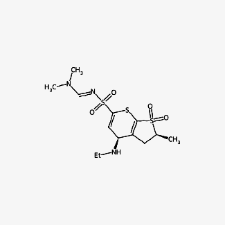 CCN[C@H]1C=C(S(=O)(=O)/N=C/N(C)C)SC2=C1C[C@H](C)S2(=O)=O